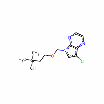 C[Si](C)(C)CCOCn1cc(Cl)c2nccnc21